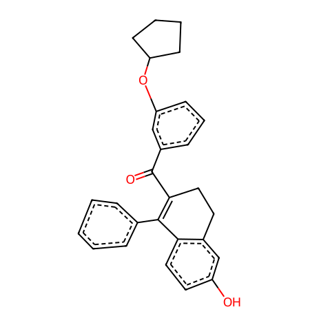 O=C(C1=C(c2ccccc2)c2ccc(O)cc2CC1)c1cccc(OC2CCCC2)c1